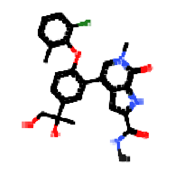 Cc1cccc(Cl)c1Oc1ccc(C(C)(O)CO)cc1-c1cn(C)c(=O)c2[nH]c(C(=O)NC(C)(C)C)cc12